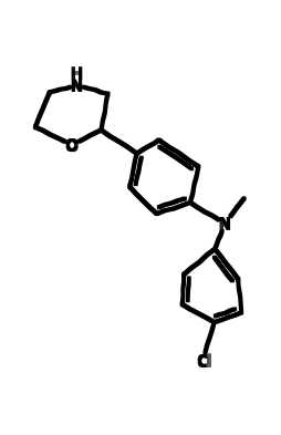 CN(c1ccc(Cl)cc1)c1ccc(C2CNCCO2)cc1